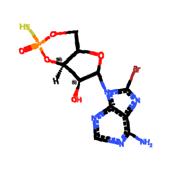 Nc1ncnc2c1nc(Br)n2C1OC2COP(=O)(S)O[C@@H]2[C@@H]1O